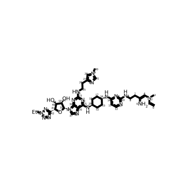 C=CN(C)/C=C(\N)CCNc1nccc(N[C@H]2CC[C@H](Nc3nc(NCCc4cn(C)cn4)nc4c3ncn4[C@@H]3O[C@H](c4nnn(CC)n4)[C@@H](O)[C@H]3O)CC2)n1